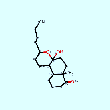 CC12CCC3(O)OC(CCCC#N)CCC3C1CCCC2=O